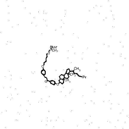 CO[SiH](C)COCCCCCCOc1ccc(/C=C/C(=O)c2ccc(OC3CCC4(C)C(CCC5C4CCC4(C)C(C(C)CCCC(C)C)CCC54)C3)cc2)cc1